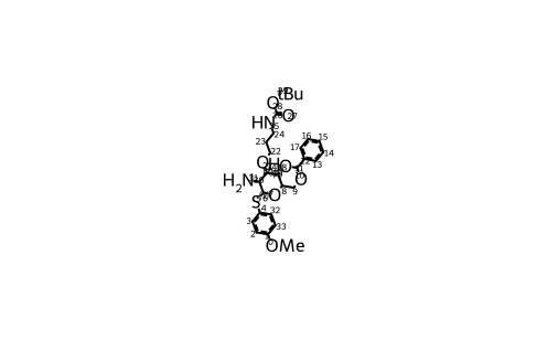 COc1ccc(S[C@@H]2OC3COC(c4ccccc4)O[C@@H]3[C@H](OCCCNC(=O)OC(C)(C)C)C2N)cc1